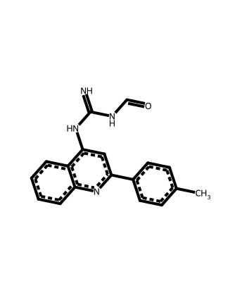 Cc1ccc(-c2cc(NC(=N)NC=O)c3ccccc3n2)cc1